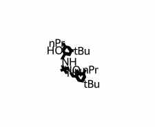 CCCc1cc(C(C)(C)C)cc(CNCC(C)(C)CNCc2cc(C(C)(C)C)cc(CCC)c2O)c1O